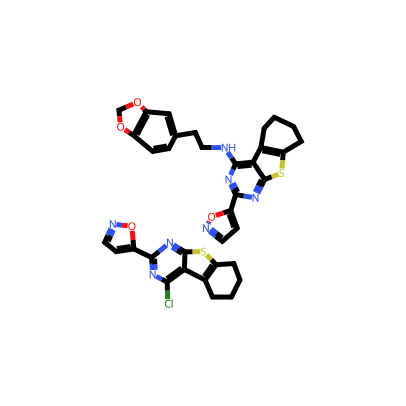 Clc1nc(-c2ccno2)nc2sc3c(c12)CCCC3.c1cc(-c2nc(NCCc3ccc4c(c3)OCO4)c3c4c(sc3n2)CCCC4)on1